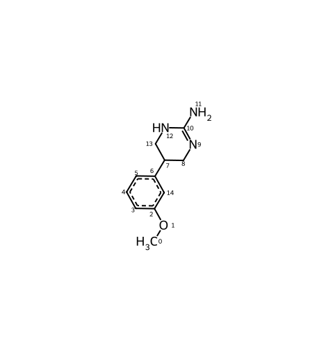 COc1cccc(C2CN=C(N)NC2)c1